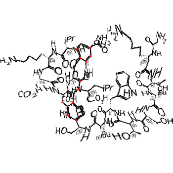 CC[C@H](C)[C@H](NC(=O)[C@H](Cc1c[nH]c2ccccc12)NC(=O)[C@@H](NC(=O)[C@H](CO)NC(=O)[C@@H](NC(=O)[C@@H](NC(=O)[C@H](CCCCN)NC(=O)CN)[C@@H](C)O)[C@@H](C)CC)[C@@H](C)O)C(=O)N[C@@H](CO)C(=O)N[C@@H](CC(=O)O)C(=O)NCC(=O)N[C@@H](CCC(N)=O)C(=O)N[C@H](C(=O)N[C@@H](CCCCN)C(=O)N[C@@H](CC(=O)O)C(=O)N[C@@H](Cc1ccccc1)C(=O)N[C@@H](Cc1ccc(O)cc1)C(=O)N[C@@H](CC(C)C)C(=O)O)C(C)C